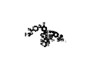 COc1cc(F)c(O[C@H]2CC[C@@H](C(=O)OO)CC2)cc1C(=O)N[C@@H]1[C@@H]2C[C@@H]([C@H]3OCO[C@@H]23)[C@@H]1C(=O)Nc1cccc(S(=O)(=O)C(F)(F)F)c1